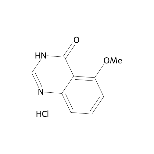 COc1cccc2nc[nH]c(=O)c12.Cl